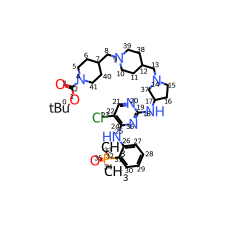 CC(C)(C)OC(=O)N1CCC(CN2CCC(CN3CCC(Nc4ncc(Cl)c(Nc5ccccc5P(C)(C)=O)n4)C3)CC2)CC1